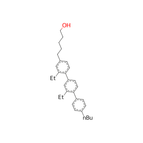 CCCCc1ccc(-c2ccc(-c3ccc(CCCCCO)cc3CC)cc2CC)cc1